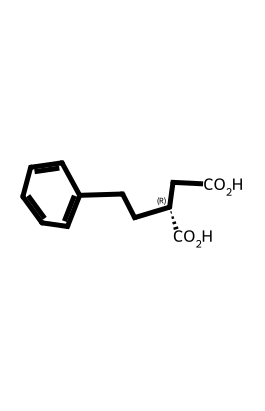 O=C(O)C[C@@H](CCc1ccccc1)C(=O)O